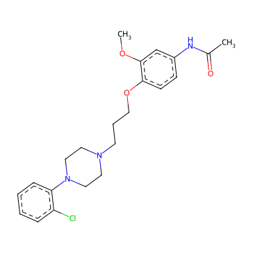 COc1cc(NC(C)=O)ccc1OCCCN1CCN(c2ccccc2Cl)CC1